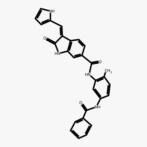 Cc1ccc(NC(=O)c2ccccc2)cc1NC(=O)c1ccc2c(c1)NC(=O)C2=Cc1ccc[nH]1